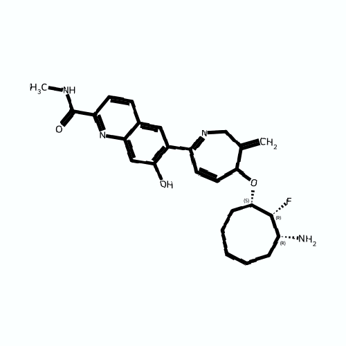 C=C1CN=C(c2cc3ccc(C(=O)NC)nc3cc2O)C=CC1O[C@H]1CCCCC[C@@H](N)[C@H]1F